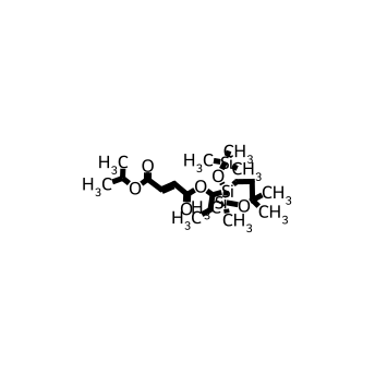 CCC(OC(=O)C=CC(=O)OC(C)C)[Si]1(O[Si](C)(C)C)CCC(C)(C)O[Si]1(C)C